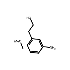 COC.Nc1cccc(CCO)c1